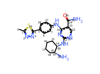 Cc1nnc(-c2ccc(Nc3nc(N[C@@H]4CCCC[C@@H]4N)ncc3C(N)=O)cc2)s1